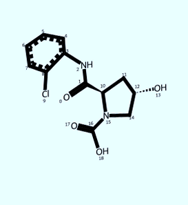 O=C(Nc1ccccc1Cl)[C@H]1C[C@H](O)CN1C(=O)O